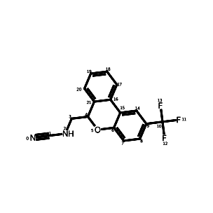 N#CNCC1Oc2ccc(C(F)(F)F)cc2-c2ccccc21